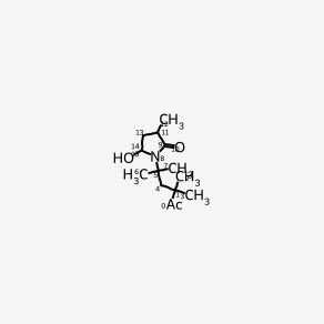 CC(=O)C(C)(C)CC(C)(C)N1C(=O)C(C)CC1O